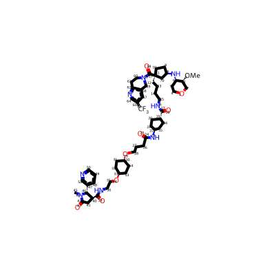 CO[C@@H]1COCC[C@@H]1N[C@@H]1CC[C@](CCCCNC(=O)[C@H]2CC[C@H](NC(=O)CCCO[C@H]3CC[C@H](OCCNC(=O)[C@H]4CC(=O)N(C)[C@@H]4c4cccnc4)CC3)CC2)(C(=O)N2CCc3ncc(C(F)(F)F)cc3C2)C1